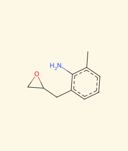 Cc1cccc(CC2CO2)c1N